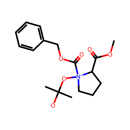 COC(=O)C1CCC[N+]1(OC(C)(C)[O])C(=O)OCc1ccccc1